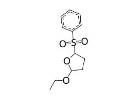 CCOC1CCC(S(=O)(=O)c2ccccc2)O1